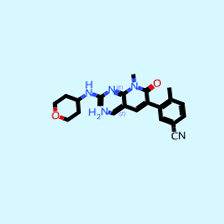 C=C(/N=C1\C(=C/N)C=C(c2cc(C#N)ccc2C)C(=O)N1C)NC1CCOCC1